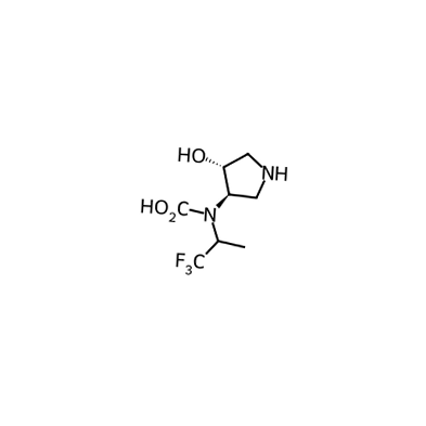 CC(N(C(=O)O)[C@@H]1CNC[C@H]1O)C(F)(F)F